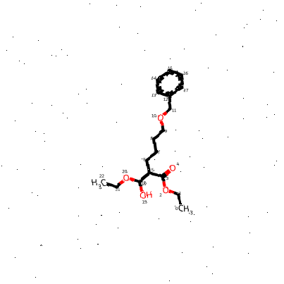 CCOC(=O)C(CCCCOCc1ccccc1)C(O)OCC